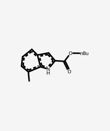 CCCCOC(=O)c1cc2cccc(C)c2[nH]1